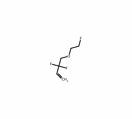 C=CC(F)(F)COCCF